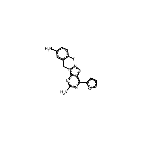 Nc1ccc(F)c(Cn2nnc3c(-c4ccco4)nc(N)nc32)c1